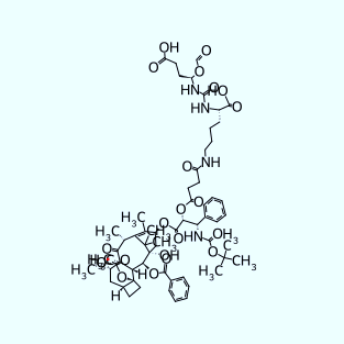 CO[C@H]1C[C@H]2CC[C@@]2(OC(C)=O)[C@H]2[C@H](OC(=O)c3ccccc3)[C@]3(O)C[C@H](OC(=O)[C@H](OC(=O)CCC(=O)NCCCC[C@H](NC(=O)N[C@@H](CCC(=O)O)OC=O)C(=O)O)[C@@H](NC(=O)OC(C)(C)C)c4ccccc4)C(C)=C([C@@H](C)C(=O)[C@]12C)C3(C)C